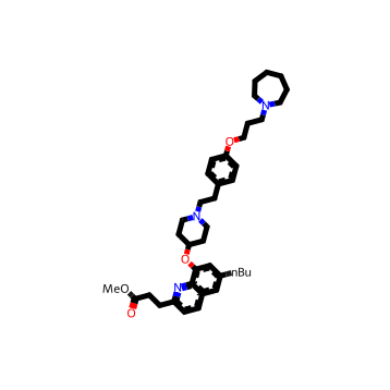 CCCCc1cc(OC2CCN(CCc3ccc(OCCCN4CCCCCC4)cc3)CC2)c2nc(CCC(=O)OC)ccc2c1